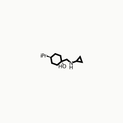 CC(C)[C@H]1CC[C@@](O)(CNC2CC2)CC1